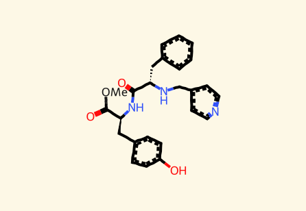 COC(=O)[C@H](Cc1ccc(O)cc1)NC(=O)[C@H](Cc1ccccc1)NCc1ccncc1